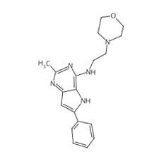 Cc1nc(NCCN2CCOCC2)c2[nH]c(-c3ccccc3)cc2n1